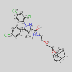 Cc1c(C(=O)NCCOCCOC23CC4CC(CC(C4)C2)C3)nn(-c2ccc(Cl)cc2Cl)c1-c1ccc(Cl)cc1